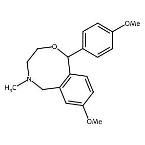 COc1ccc(C2OCCN(C)Cc3cc(OC)ccc32)cc1